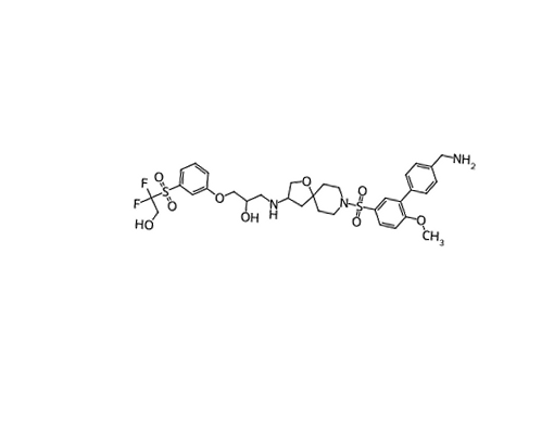 COc1ccc(S(=O)(=O)N2CCC3(CC2)CC(NCC(O)COc2cccc(S(=O)(=O)C(F)(F)CO)c2)CO3)cc1-c1ccc(CN)cc1